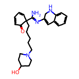 NC(=NC1=Cc2ccccc2NC1)C1(CCCCCN2CCC(O)CC2)C=CC=CC1=O